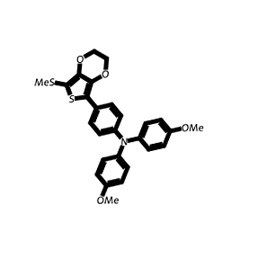 COc1ccc(N(c2ccc(OC)cc2)c2ccc(-c3sc(SC)c4c3OCCO4)cc2)cc1